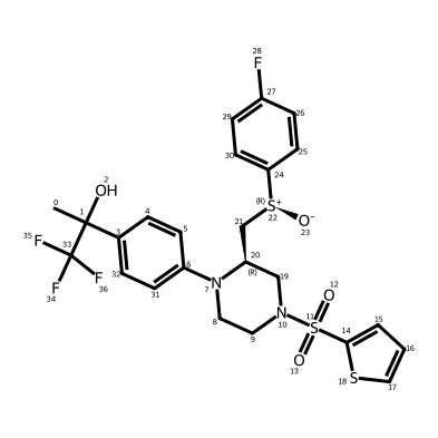 CC(O)(c1ccc(N2CCN(S(=O)(=O)c3cccs3)C[C@@H]2C[S@+]([O-])c2ccc(F)cc2)cc1)C(F)(F)F